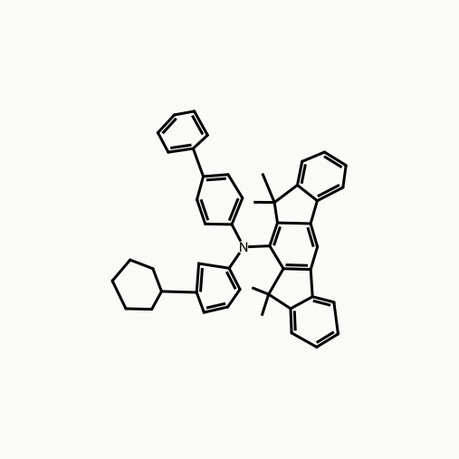 CC1(C)c2ccccc2-c2cc3c(c(N(c4ccc(-c5ccccc5)cc4)c4cccc(C5CCCCC5)c4)c21)C(C)(C)c1ccccc1-3